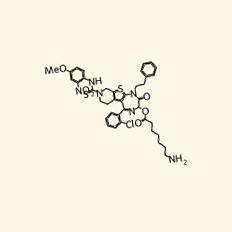 COc1ccc(NC(=S)N2CCc3c(sc4c3C(c3ccccc3Cl)=NC(OC(=O)CCCCCCN)C(=O)N4CCc3ccccc3)C2)c([N+](=O)[O-])c1